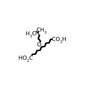 CN(C)CCCOC(CCCCC(=O)O)CCCCC(=O)O